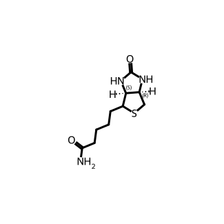 NC(=O)CCCCC1SC[C@@H]2NC(=O)N[C@H]12